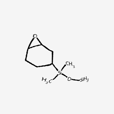 C[Si](C)(O[SiH3])C1CCC2OC2C1